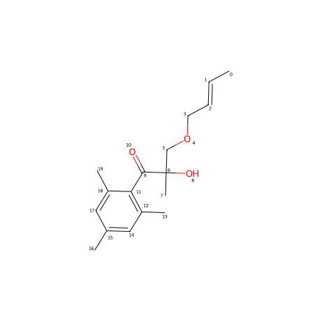 CC=CCOCC(C)(O)C(=O)c1c(C)cc(C)cc1C